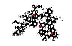 CSCC[C@H](NC(=O)[C@H](Cc1ccccc1)NC(=O)[C@@H](NC(=O)[C@H](CCC(N)=O)NC(=O)[C@H](CCC(=O)O)NC(=O)[C@H](Cc1ccccc1)NC(=O)[C@H](CC(N)=O)NC(=O)[C@H](Cc1ccc(O)cc1)NC(=O)[C@H](CC(C)C)NC(=O)[C@H](CO)NC(=O)[C@@H](NC(=O)[C@@H](N)C(C)C)C(C)C)[C@@H](C)O)C(=O)N[C@@H](CC(C)C)C(=O)O